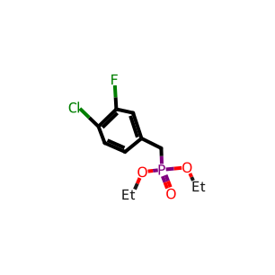 CCOP(=O)(Cc1ccc(Cl)c(F)c1)OCC